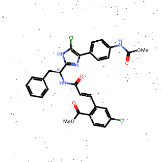 COC(=O)Nc1ccc(-c2nc([C@H](Cc3ccccc3)NC(=O)C=Cc3cc(Cl)ccc3C(=O)OC)[nH]c2Cl)cc1